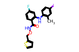 Cc1cc(I)ccc1Nc1cc(F)ccc1C(=O)NOCc1cccs1